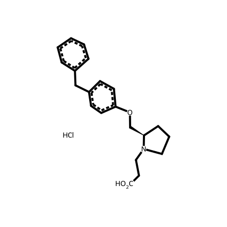 Cl.O=C(O)CCN1CCC[C@@H]1COc1ccc(Cc2ccccc2)cc1